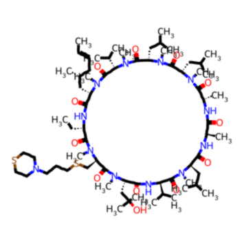 C/C=C/C[C@@H](C)C[C@H]1C(=O)N[C@@H](CC)C(=O)N(C)[C@H](CSCCCN2CCSCC2)C(=O)N(C)[C@@H](CC(C)(C)O)C(=O)N[C@H](C(C)C)C(=O)N(C)[C@H](CC(C)C)C(=O)N[C@H](C)C(=O)N[C@@H](C)C(=O)N(C)[C@@H](CC(C)C)C(=O)N(C)[C@@H](CC(C)C)C(=O)N(C)[C@@H](C(C)C)C(=O)N1C